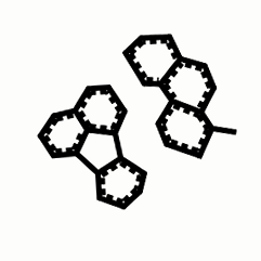 Cc1cccc2c1ccc1ccccc12.c1ccc2c(c1)-c1cccc3cccc-2c13